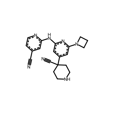 N#Cc1ccnc(Nc2cc(C3(C#N)CCNCC3)cc(N3CCC3)n2)c1